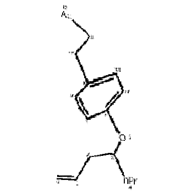 C=CCC(CCC)Oc1ccc(CCC(C)=O)cc1